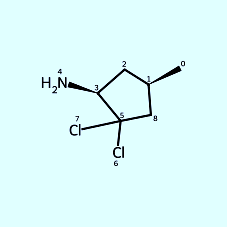 C[C@@H]1C[C@H](N)C(Cl)(Cl)C1